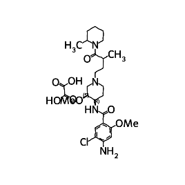 COc1cc(N)c(Cl)cc1C(=O)N[C@@H]1CCN(CCC(C)C(=O)N2CCCCC2C)C[C@@H]1OC.O=C(O)C(=O)O